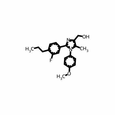 CCCc1ccc(-c2nc(CO)c(C)n2-c2ccc(OC)cc2)cc1F